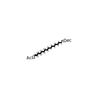 CCCCCCCCCCCCCCCCCCCCCCCCC=COC(C)=O